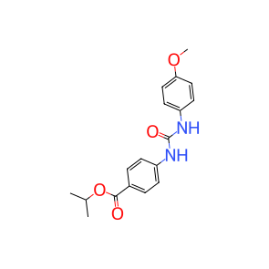 COc1ccc(NC(=O)Nc2ccc(C(=O)OC(C)C)cc2)cc1